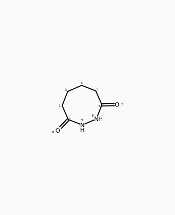 O=C1CCCCC(=O)NN1